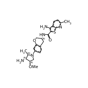 CO[C@@H]1CN(c2ccc3c(c2)OC[C@H](NC(=O)c2sc4nc(C)ccc4c2N)C3)[C@H](C)[C@H]1N